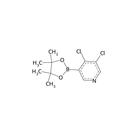 CC1(C)OB(c2cncc(Cl)c2Cl)OC1(C)C